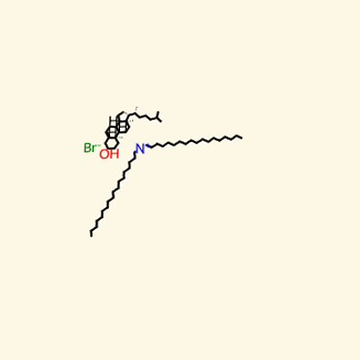 CC(C)CCC[C@@H](C)[C@H]1CC[C@H]2[C@@H]3CC=C4C[C@@H](O)CC[C@]4(C)[C@H]3CC[C@]12C.CCCCCCCCCCCCCCCCCC[N+](C)(C)CCCCCCCCCCCCCCCCCC.[Br-]